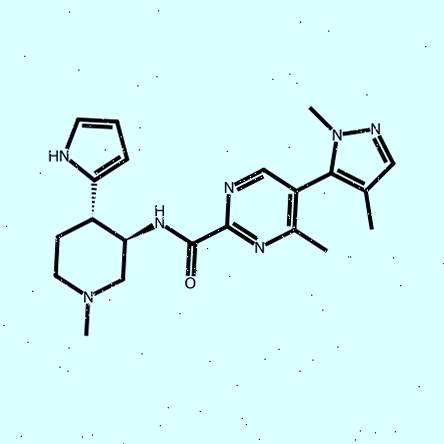 Cc1cnn(C)c1-c1cnc(C(=O)N[C@H]2CN(C)CC[C@@H]2c2ccc[nH]2)nc1C